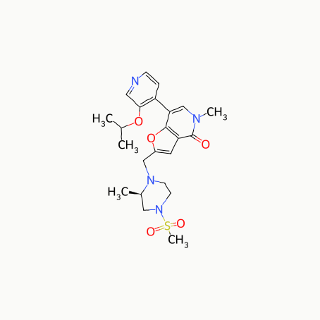 CC(C)Oc1cnccc1-c1cn(C)c(=O)c2cc(CN3CCN(S(C)(=O)=O)C[C@H]3C)oc12